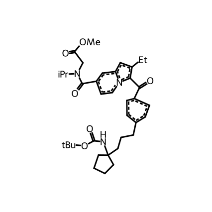 CCc1cc2cc(C(=O)N(CC(=O)OC)C(C)C)ccn2c1C(=O)c1ccc(CCCC2(NC(=O)OC(C)(C)C)CCCC2)cc1